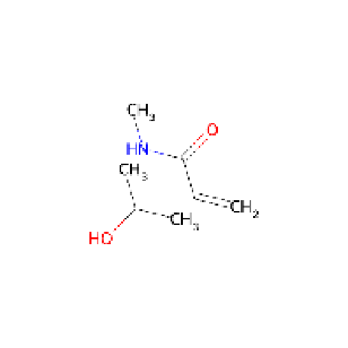 C=CC(=O)NC.CC(C)O